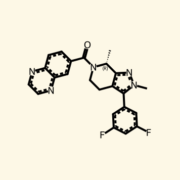 C[C@@H]1c2nn(C)c(-c3cc(F)cc(F)c3)c2CCN1C(=O)c1ccc2nccnc2c1